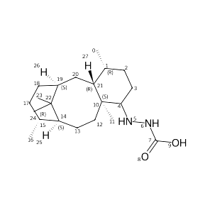 C[C@@H]1CCC(NNC(=O)O)[C@@]2(C)CC[C@H]3[C@H](C)CC[C@@H](C[C@H]12)C3(C)C